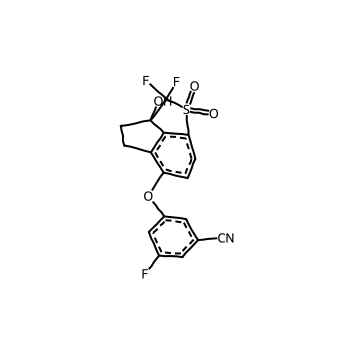 N#Cc1cc(F)cc(Oc2ccc3c4c2CCC4(O)C(F)(F)S3(=O)=O)c1